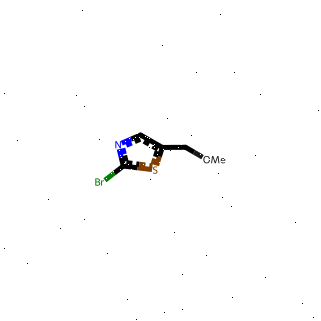 COCc1cnc(Br)s1